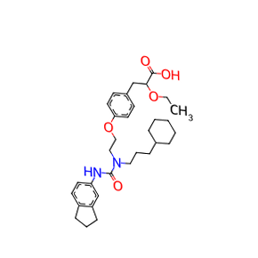 CCOC(Cc1ccc(OCCN(CCCC2CCCCC2)C(=O)Nc2ccc3c(c2)CCC3)cc1)C(=O)O